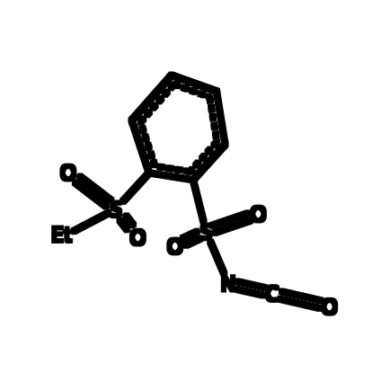 CCS(=O)(=O)c1ccccc1S(=O)(=O)N=C=O